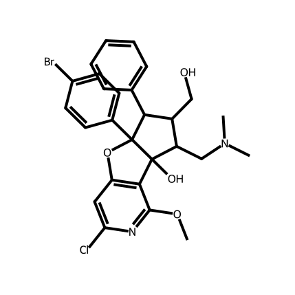 COc1nc(Cl)cc2c1C1(O)C(CN(C)C)C(CO)C(c3ccccc3)C1(c1ccc(Br)cc1)O2